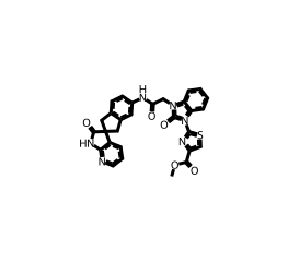 COC(=O)c1csc(-n2c(=O)n(CC(=O)Nc3ccc4c(c3)CC3(C4)C(=O)Nc4ncccc43)c3ccccc32)n1